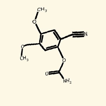 COc1cc(C#N)c(OC(N)=O)cc1OC